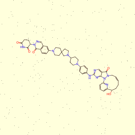 C[C@@]1(O)CC/C=C\Cn2c(=O)c3cnc(Nc4ccc(N5CCC(N6CCC7(CCN(c8ccc9c(=O)n(C%10CCC(=O)NC%10=O)ncc9c8)CC7)C6)CC5)cc4)nc3n2-c2cccc1n2